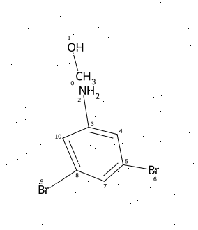 CO.Nc1cc(Br)cc(Br)c1